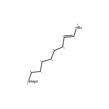 [CH2]CCCC=CCCCCCCCCCCCCC